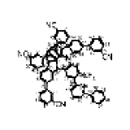 N#Cc1cccc(-c2ccc3c4ccc(-c5cccc(C#N)c5)cc4n(-c4cc(-c5cccc(-c6ccccc6)n5)c(C(F)(F)F)cc4-n4c5cc(-c6cccc(C#N)c6)ccc5c5ccc(-c6cccc(C#N)c6)cc54)c3c2)c1